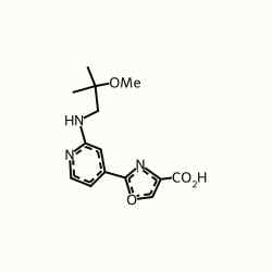 COC(C)(C)CNc1cc(-c2nc(C(=O)O)co2)ccn1